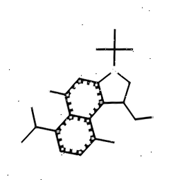 Cc1ccc(C(C)C)c2c(O)cc3c(c12)C(CCl)CN3C(C)(C)C